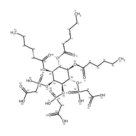 CCCCCC(=O)O[C@@H]1[C@@H](OC(=O)CCCCC)[C@H](OP(=O)(O)CC(=O)O)[C@@H](OP(=O)(O)CC(=O)O)[C@@H](OP(=O)(O)CC(=O)O)[C@H]1OC(=O)CCCCC